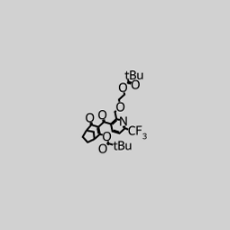 CC(C)(C)C(=O)OCCOCc1nc(C(F)(F)F)ccc1C(=O)C1=C(OC(=O)C(C)(C)C)C2CCC(C2)C1=O